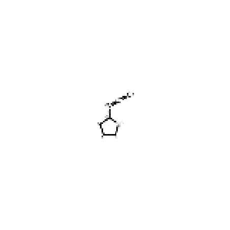 O=C=NC1CCCS1